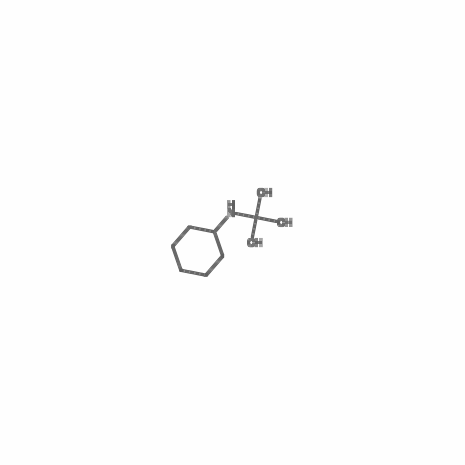 OC(O)(O)NC1CCCCC1